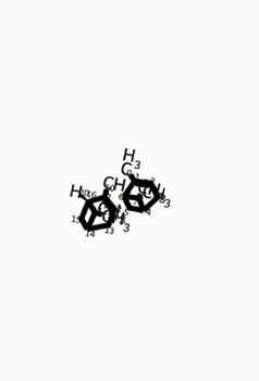 CC1=CCC2CC1C2(C)C.CC1=CCC2C[C@H]1C2(C)C